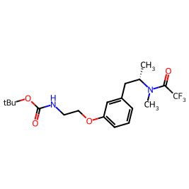 C[C@@H](Cc1cccc(OCCNC(=O)OC(C)(C)C)c1)N(C)C(=O)C(F)(F)F